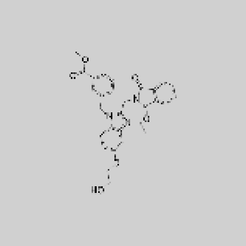 CCn1c(CN2C(=O)c3ccccc3C2=O)[n+](Cc2cccc(C(=O)OC)c2)c2ccc(OCCO)cc21